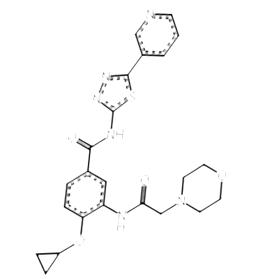 O=C(CN1CCOCC1)Nc1cc(C(=O)Nc2nnc(-c3cccnc3)s2)ccc1OC1CC1